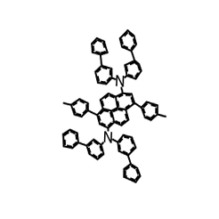 Cc1ccc(-c2cc(N(c3cccc(-c4ccccc4)c3)c3cccc(-c4ccccc4)c3)c3ccc4c(-c5ccc(C)cc5)cc(N(c5cccc(-c6ccccc6)c5)c5cccc(-c6ccccc6)c5)c5ccc2c3c45)cc1